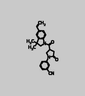 C=Cc1ccc2c(c1)C(C)(C)CN2C(=O)C1CC(=O)N(c2cccc(C#N)c2)C1